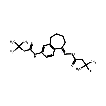 CC(C)(S)CC(=O)N/N=C1\CCCCc2cc(NC(=O)OC(C)(C)C)ccc21